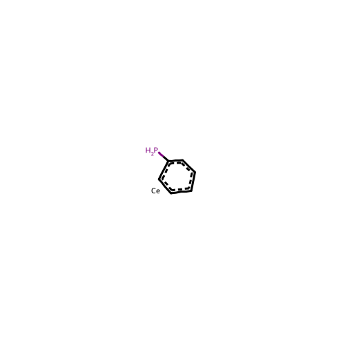 Pc1ccccc1.[Ce]